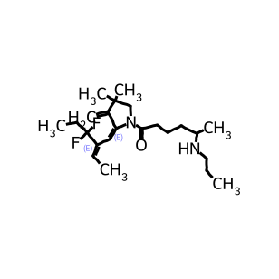 C=C1/C(=C\C(=C/C)C(F)(F)CC)N(C(=O)CCCC(C)NCCC)CC1(C)C